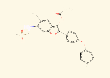 CCc1cc2c(OC(=O)NC)c(-c3ccc(Oc4ccc(F)cc4)cc3)oc2cc1NCS(C)(=O)=O